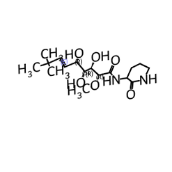 CO[C@@H](C(=O)NC1CCCNC1=O)[C@H](O)[C@@H](O)[C@H](O)/C=C/C(C)(C)C